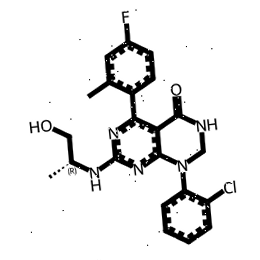 Cc1cc(F)ccc1-c1nc(N[C@H](C)CO)nc2c1C(=O)NCN2c1ccccc1Cl